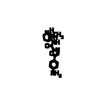 C[C@H]1[C@H](NC(=O)c2ncc(-c3ccc(N)cc3)o2)C2CCN1CC2